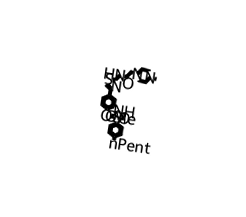 CCCCCc1ccc(S(=O)(=O)Nc2cc(-c3csc(NC(=O)CN4CCN(C)CC4)n3)ccc2OC)cc1